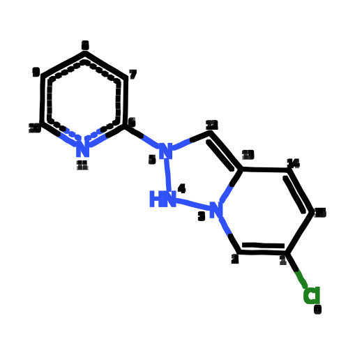 ClC1=CN2NN(c3ccccn3)C=C2C=C1